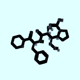 CO[C@H]([C@@H](C)C(=O)N[C@@H](Cc1ccccc1)C(=O)N1CCCCO1)[C@@H]1CCCN1C(=O)O